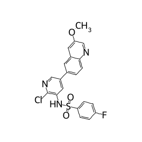 COc1cnc2ccc(-c3cnc(Cl)c(NS(=O)(=O)c4ccc(F)cc4)c3)cc2c1